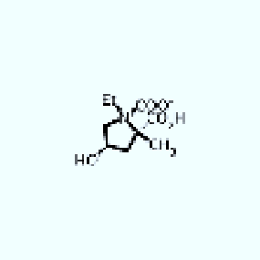 CC[N+]1(C(=O)[O-])C[C@H](O)C[C@@]1(C)C(=O)O